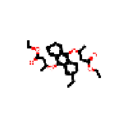 CCOC(=O)CC(C)Oc1c2ccccc2c(OC(C)CC(=O)OCC)c2cc(CC)ccc12